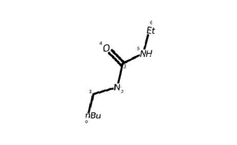 CCCCC[N]C(=O)NCC